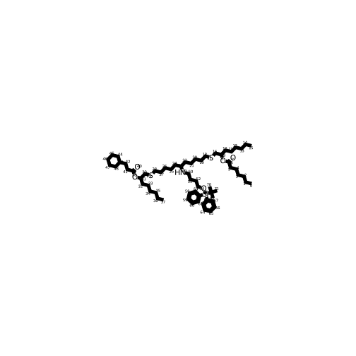 CCCCCCC(=O)OC(CCCCCC)CSCCCCCC(CCCCCSCC(CCCCCC)OC(=O)CCC1CCCCC1)NCCCCO[Si](c1ccccc1)(c1ccccc1)C(C)(C)C